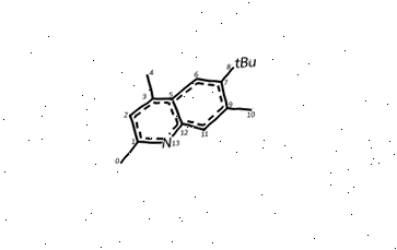 Cc1cc(C)c2cc(C(C)(C)C)c(C)cc2n1